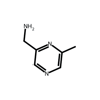 Cc1cn[c]c(CN)n1